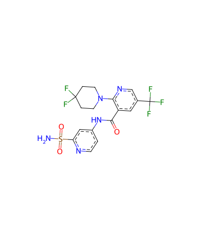 NS(=O)(=O)c1cc(NC(=O)c2cc(C(F)(F)F)cnc2N2CCC(F)(F)CC2)ccn1